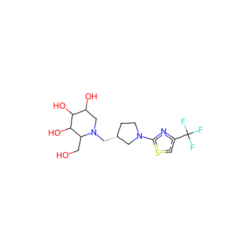 OCC1C(O)C(O)C(O)CN1C[C@@H]1CCN(c2nc(C(F)(F)F)cs2)C1